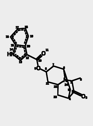 CC1C(=O)C2CC3CC(OC(=O)c4c[nH]c5ccccc45)CC(C2)N31